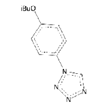 CC(C)COc1ccc(-n2cnnn2)cc1